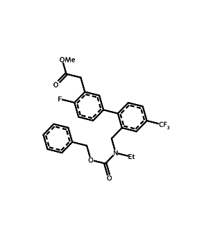 CCN(Cc1cc(C(F)(F)F)ccc1-c1ccc(F)c(CC(=O)OC)c1)C(=O)OCc1ccccc1